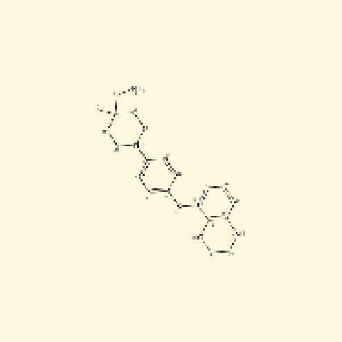 CC1(CN)CCN(c2cnc(Sc3cccc4c3OCCN4)cn2)CC1